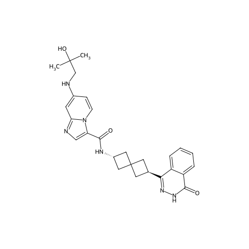 CC(C)(O)CNc1ccn2c(C(=O)N[C@H]3CC4(C3)C[C@H](c3n[nH]c(=O)c5ccccc53)C4)cnc2c1